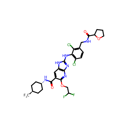 O=C(N[C@H]1CC[C@H](C(F)(F)F)CC1)c1cc2[nH]c(Nc3c(Cl)ccc(CNC(=O)C4CCCO4)c3Cl)nc2nc1OCC(F)F